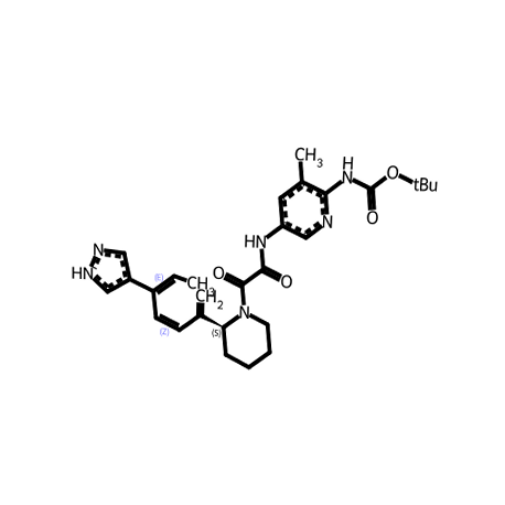 C=C(/C=C\C(=C/C)c1cn[nH]c1)[C@@H]1CCCCN1C(=O)C(=O)Nc1cnc(NC(=O)OC(C)(C)C)c(C)c1